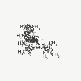 CCO[Si](CCCNC(NCCC[Si](OCC)(OCC)OCC)[SiH2]CC[Si](C)(C)O[Si](C)(C)O[Si](C)(C)O[Si](C)(C)O[Si](C)(C)C(C)[Si](OC)(OC)OC)(OCC)OCC